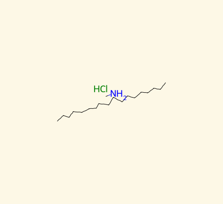 CCCCCCCCCCCCCCCCCC.CN.Cl